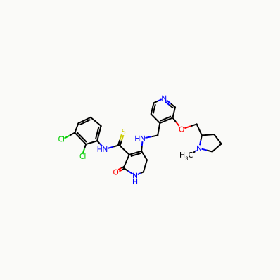 CN1CCCC1COc1cnccc1CNC1=C(C(=S)Nc2cccc(Cl)c2Cl)C(=O)NCC1